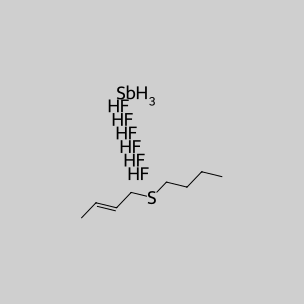 CC=CCSCCCC.F.F.F.F.F.F.[SbH3]